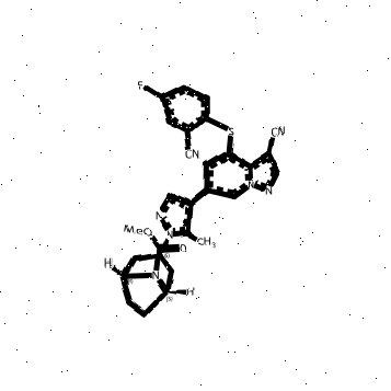 COC(=O)N1[C@@H]2CC[C@H]1C[C@H](n1ncc(-c3cc(Sc4ccc(F)cc4C#N)c4c(C#N)cnn4c3)c1C)C2